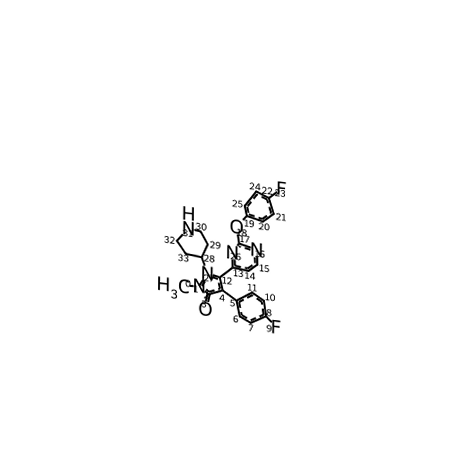 Cn1c(=O)c(-c2ccc(F)cc2)c(-c2ccnc(Oc3ccc(F)cc3)n2)n1C1CCNCC1